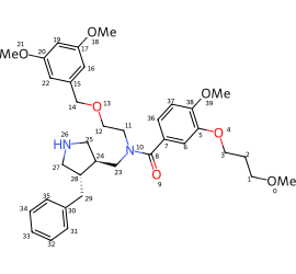 COCCCOc1cc(C(=O)N(CCOCc2cc(OC)cc(OC)c2)C[C@@H]2CNC[C@H]2Cc2ccccc2)ccc1OC